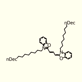 CCCCCCCCCCCCCCCCCCN1C(=CC=Cc2oc3ccccc3[n+]2CCCCCCCCCCCCCCCCCC)Oc2ccccc21